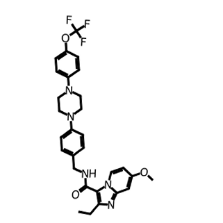 CCc1nc2cc(OC)ccn2c1C(=O)NCc1ccc(N2CCN(c3ccc(OC(F)(F)F)cc3)CC2)cc1